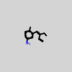 C=C/C(=C\c1cc(N)ccc1C)CC